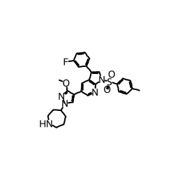 COc1nn(C2CCCNCC2)cc1-c1cnc2c(c1)c(-c1cccc(F)c1)cn2S(=O)(=O)c1ccc(C)cc1